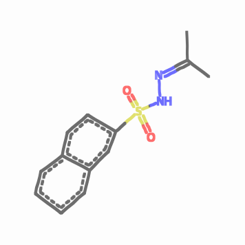 CC(C)=NNS(=O)(=O)c1ccc2ccccc2c1